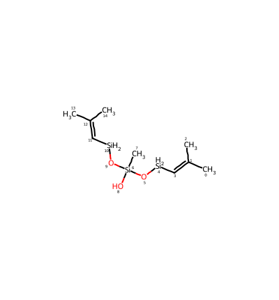 CC(C)=C[SiH2]O[Si](C)(O)O[SiH2]C=C(C)C